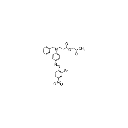 CC(=O)COC(=O)CCN(Cc1ccccc1)c1ccc(/N=N/c2ccc([N+](=O)[O-])cc2Br)cc1